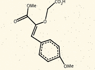 COC(=O)C(=Cc1ccc(OC)cc1)OCC(=O)O